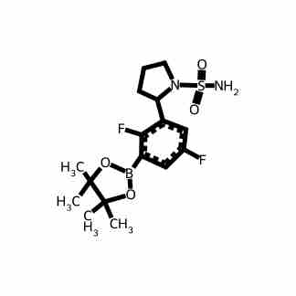 CC1(C)OB(c2cc(F)cc(C3CCCN3S(N)(=O)=O)c2F)OC1(C)C